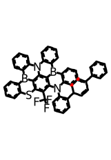 FC(F)(F)c1c2c3c4c5c1N(c1ccccc1C1C=CC(c6ccccc6)=CC1)c1ccccc1B5c1ccccc1N4c1ccccc1B3c1ccccc1S2